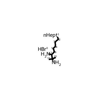 Br.CCCCCCCCCCCCC(N)C(C)(C)N